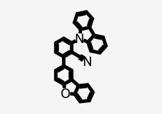 N#Cc1c(-c2ccc3oc4ccccc4c3c2)cccc1-n1c2ccccc2c2ccccc21